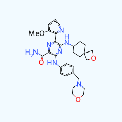 COc1cccnc1-c1nc(C(N)=O)c(Nc2ccc(CN3CCOCC3)cc2)nc1NC1CCC2(CC1)COC2